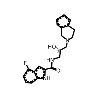 O=C(NC[C@H](O)CN1CCc2ccccc2C1)c1cc2c(F)cccc2[nH]1